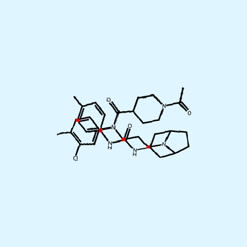 CC(=O)N1CCC(C(=O)N(CCCN2C3CCC2CC(NC(=O)Nc2ccc(C)cc2)C3)c2ccc(C)c(Cl)c2)CC1